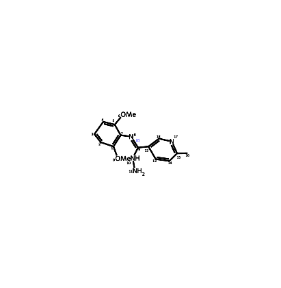 COc1cccc(OC)c1/N=C(\NN)c1ccc(C)nc1